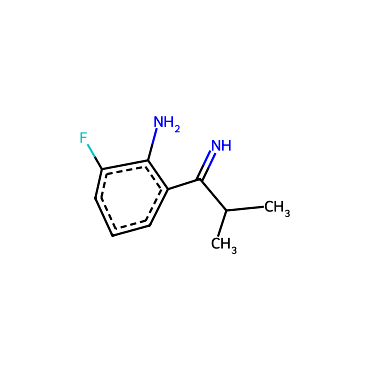 CC(C)C(=N)c1cccc(F)c1N